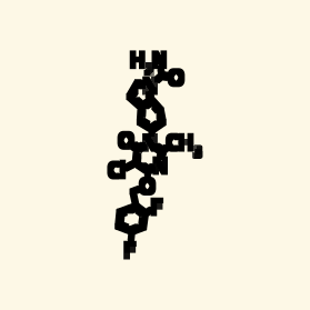 Cc1nc(OCc2ccc(F)cc2F)c(Cl)c(=O)n1-c1ccc2c(ccn2C(N)=O)c1